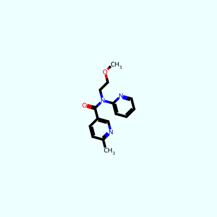 COCCN(C(=O)c1ccc(C)nc1)c1ccccn1